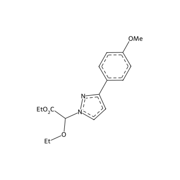 CCOC(=O)C(OCC)n1ccc(-c2ccc(OC)cc2)n1